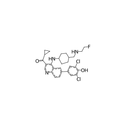 O=C(c1cnc2ccc(-c3cc(Cl)c(O)c(Cl)c3)cc2c1NC1CCC(CNCCF)CC1)C1CC1